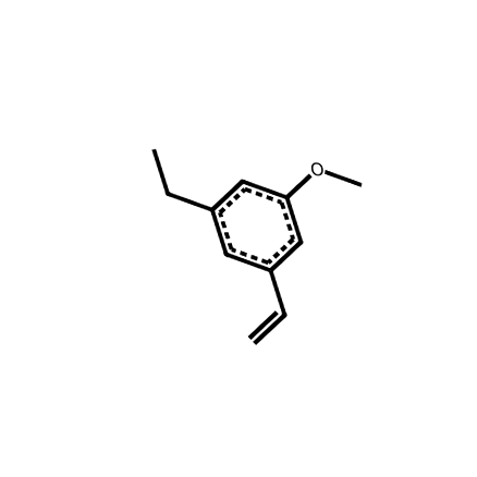 C=Cc1cc(CC)cc(OC)c1